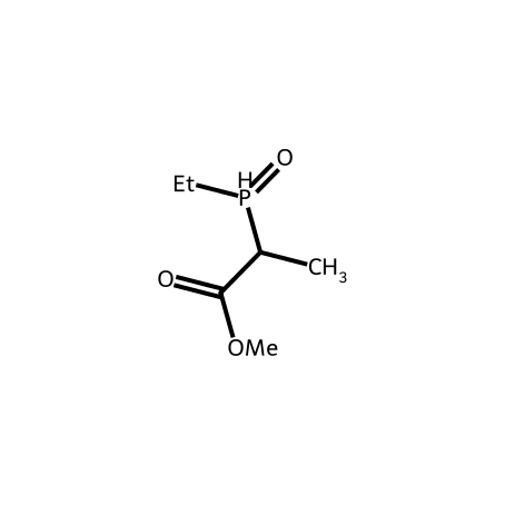 CC[PH](=O)C(C)C(=O)OC